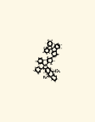 CC(C)(C)c1c2ccccc2c(C(C)(C)C)c2cc3c(cc12)c(-c1ccccc1)c(-c1ccccc1)n3-c1ccc(-c2ccc3c(c2)C(c2ccccc2)(c2ccccc2)c2ccccc2-3)cc1